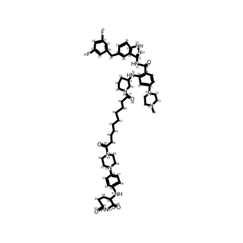 CN1CCN(c2ccc(C(=O)Nc3n[nH]c4ccc(Cc5cc(F)cc(F)c5)cc34)c(NC3CCCN(C(=O)CCCCCCCCC(=O)N4CCN(c5ccc(NC6CCC(=O)NC6=O)cc5)CC4)C3)c2)CC1